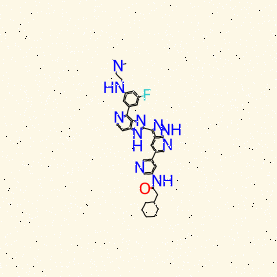 CN(C)CCNc1cc(F)cc(-c2nccc3[nH]c(-c4n[nH]c5ncc(-c6cncc(NC(=O)CC7CCCCC7)c6)cc45)nc23)c1